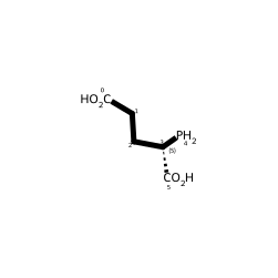 O=C(O)CC[C@H](P)C(=O)O